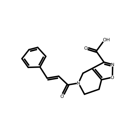 O=C(O)c1noc2c1CN(C(=O)/C=C/c1ccccc1)CC2